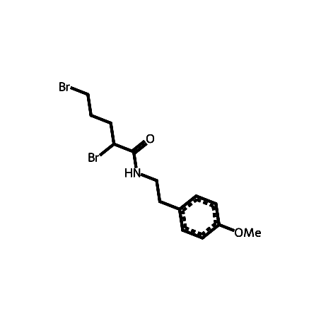 COc1ccc(CCNC(=O)C(Br)CCCBr)cc1